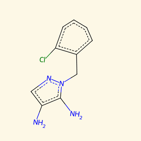 Nc1cnn(Cc2ccccc2Cl)c1N